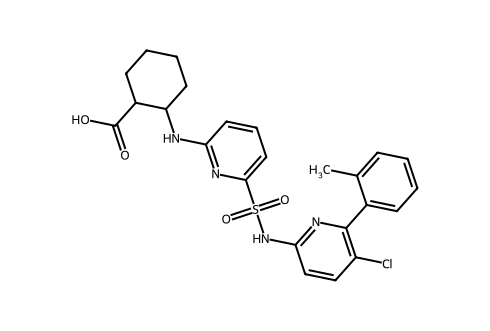 Cc1ccccc1-c1nc(NS(=O)(=O)c2cccc(NC3CCCCC3C(=O)O)n2)ccc1Cl